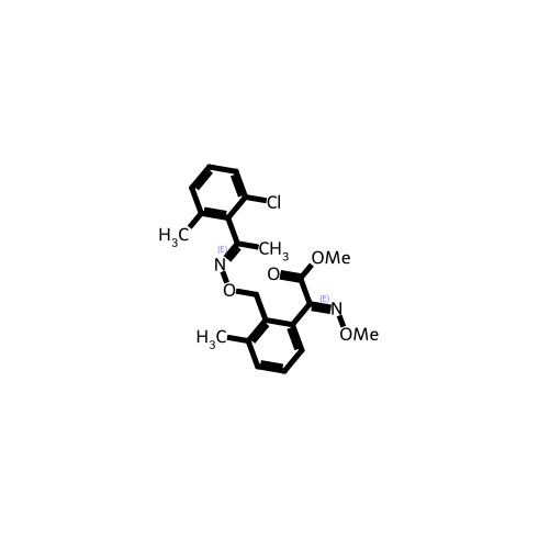 CO/N=C(/C(=O)OC)c1cccc(C)c1CO/N=C(\C)c1c(C)cccc1Cl